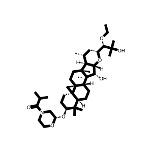 CCO[C@@H]([C@H]1C[C@@H](C)[C@H]2[C@H](O1)[C@H](O)[C@@]1(C)[C@@H]3CC[C@H]4C(C)(C)[C@@H](O[C@H]5CN(C(=O)C(C)C)CCO5)CC[C@@]45C[C@@]35CC[C@]21C)C(C)(C)O